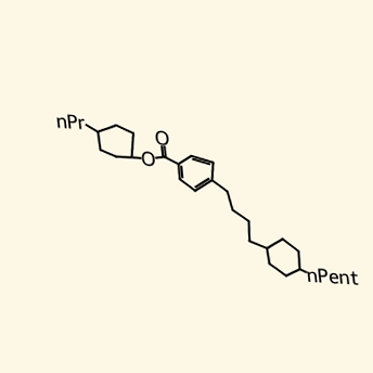 CCCCCC1CCC(CCCCc2ccc(C(=O)OC3CCC(CCC)CC3)cc2)CC1